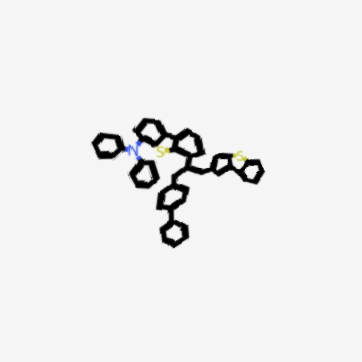 C(=C(\Cc1ccc(-c2ccccc2)cc1)c1cccc2c1sc1c(N(c3ccccc3)c3ccccc3)cccc12)/c1ccc2sc3ccccc3c2c1